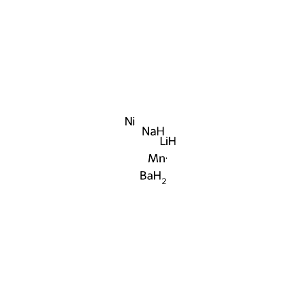 [BaH2].[LiH].[Mn].[NaH].[Ni]